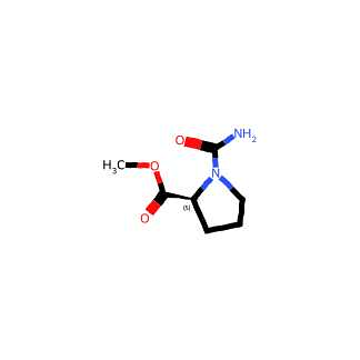 COC(=O)[C@@H]1CCCN1C(N)=O